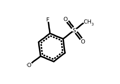 CS(=O)(=O)c1ccc([O])cc1F